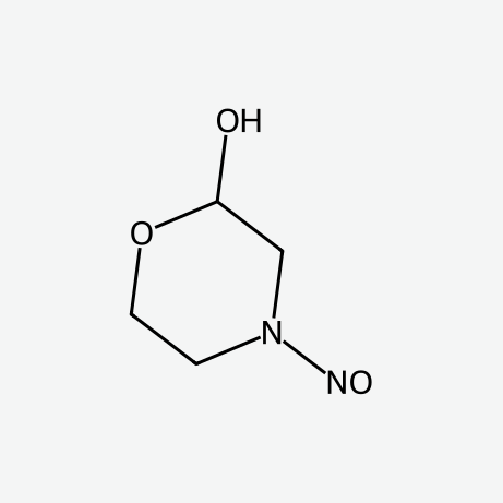 O=NN1CCOC(O)C1